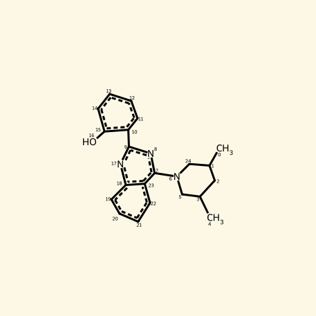 CC1CC(C)CN(c2nc(-c3ccccc3O)nc3ccccc23)C1